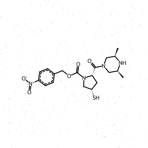 C[C@@H]1CN(C(=O)[C@@H]2C[C@H](S)CN2C(=O)OCc2ccc([N+](=O)[O-])cc2)C[C@H](C)N1